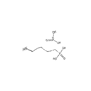 O=P(O)(O)CCCCS.O=[PH](O)O